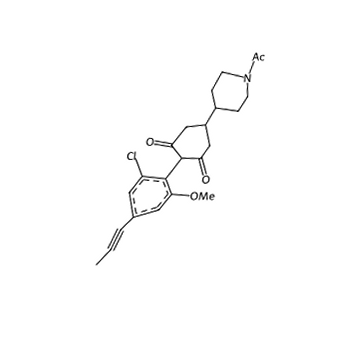 CC#Cc1cc(Cl)c(C2C(=O)CC(C3CCN(C(C)=O)CC3)CC2=O)c(OC)c1